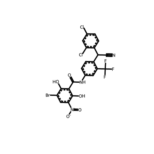 N#CC(c1ccc(Cl)cc1Cl)c1ccc(NC(=O)c2c(O)c(Br)cc([N+](=O)[O-])c2O)cc1C(F)(F)F